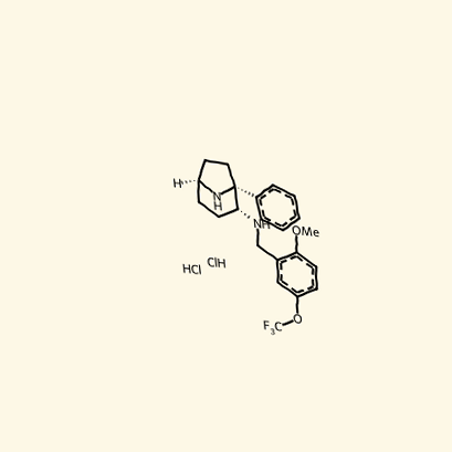 COc1ccc(OC(F)(F)F)cc1CN[C@@H]1CC[C@H]2CC[C@]1(c1ccccc1)N2.Cl.Cl